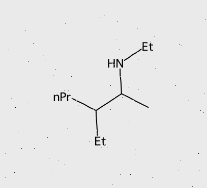 CCCC(CC)C(C)NCC